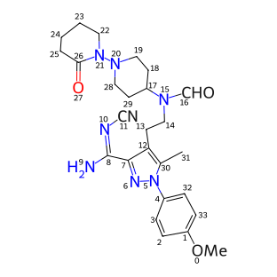 COc1ccc(-n2nc(/C(N)=N\C#N)c(CCN(C=O)C3CCN(N4CCCCC4=O)CC3)c2C)cc1